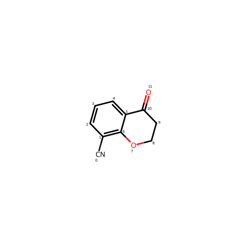 N#Cc1cccc2c1OCCC2=O